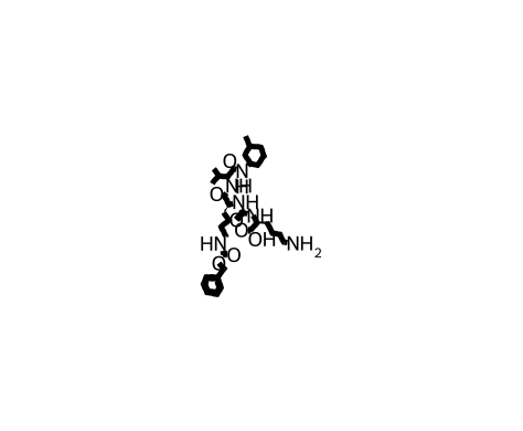 CC1CCCC(NC(=O)[C@@H](NC(=O)[C@@H](CCCCNC(=O)OCc2ccccc2)NC(=O)N[C@@H](CCCCN)C(=O)O)C(C)C)C1